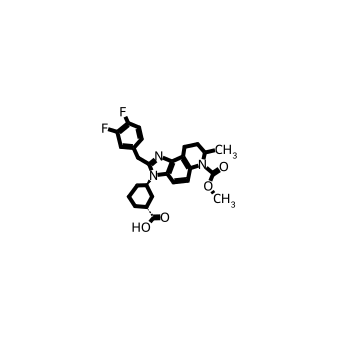 COC(=O)N1c2ccc3c(nc(Cc4ccc(F)c(F)c4)n3[C@@H]3CCC[C@@H](C(=O)O)C3)c2CCC1C